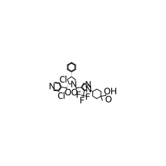 CC1(C(=O)O)CCC(n2ncc(C(=O)N3C[C@@H](c4ccccc4)C[C@H]3C(=O)c3c(Cl)cncc3Cl)c2C(F)(F)F)CC1